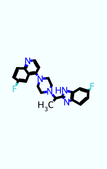 CC(c1nc2ccc(F)cc2[nH]1)N1CCN(c2ccnc3ccc(F)cc23)CC1